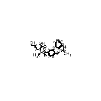 CCCC[C@@H](C(=O)O)N(C)S(=O)(=O)c1ccc(Cn2c(C)nc3cnccc32)cc1